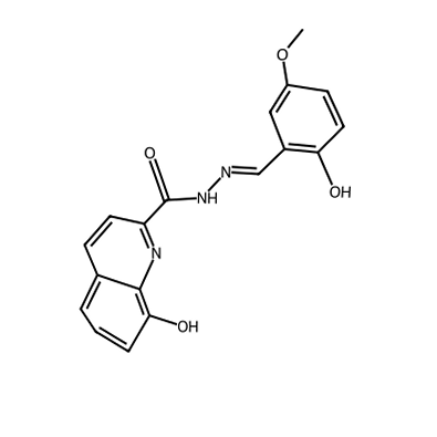 COc1ccc(O)c(/C=N/NC(=O)c2ccc3cccc(O)c3n2)c1